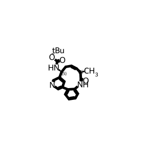 C[C@@H]1C=CC[C@H](NC(=O)OC(C)(C)C)c2cncc(c2)-c2ccccc2NC1=O